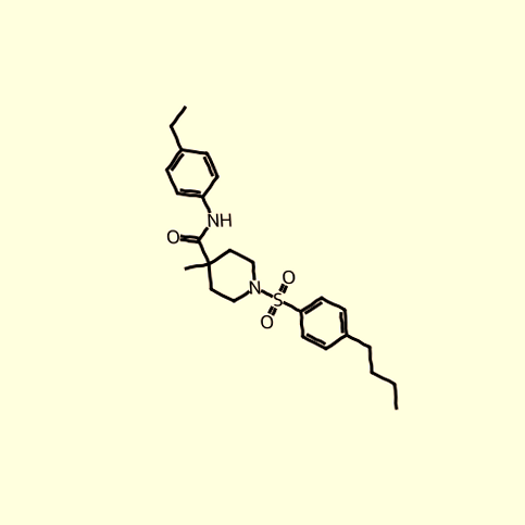 CCCCc1ccc(S(=O)(=O)N2CCC(C)(C(=O)Nc3ccc(CC)cc3)CC2)cc1